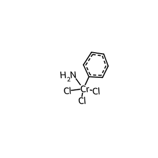 [NH2][Cr]([Cl])([Cl])([Cl])[c]1ccccc1